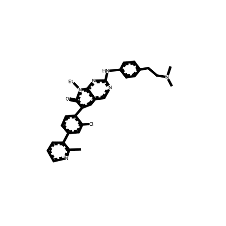 CCn1c(=O)c(-c2ccc(-c3cccnc3C)cc2Cl)cc2cnc(Nc3ccc(CCN(C)C)cc3)nc21